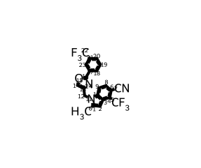 Cc1cc2c(C(F)(F)F)c(C#N)ccc2n1Cc1coc(-c2cccc(C(F)(F)F)c2)n1